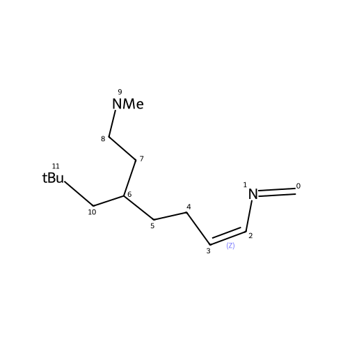 C=N/C=C\CCC(CCNC)CC(C)(C)C